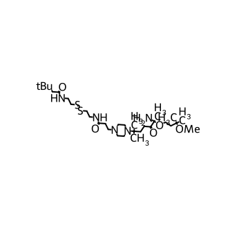 COC(C)(C)CCOC(C)(N)C(=O)CCC(C)(C)N1CCN(CCC(=O)NCCSSCCNC(=O)CC(C)(C)C)CC1